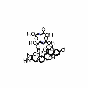 Cc1nc[nH]c1CN1CCC2(CC1)CO[C@@H]1c3ccc(Cl)cc3OC(C)(C)[C@H]1C2.O=C(O)/C=C/C(=O)O.O=C(O)/C=C/C(=O)O